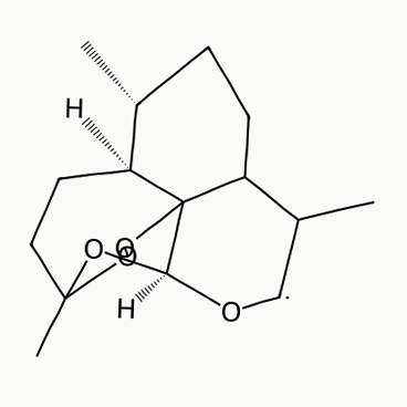 CC1[CH]O[C@H]2OC3(C)CC[C@H]4[C@H](C)CCC1C24OO3